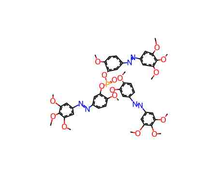 COc1ccc(/N=N/c2cc(OC)c(OC)c(OC)c2)cc1OP(=O)(Oc1cc(/N=N/c2cc(OC)c(OC)c(OC)c2)ccc1OC)Oc1cc(/N=N/c2cc(OC)c(OC)c(OC)c2)ccc1OC